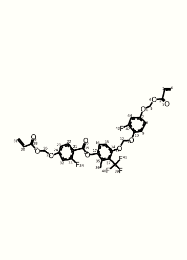 C=CC(=O)OCOc1ccc(OCOc2ccc(OC(=O)c3ccc(OCOC(=O)C=C)cc3F)c(C)c2C(F)(F)F)c(F)c1